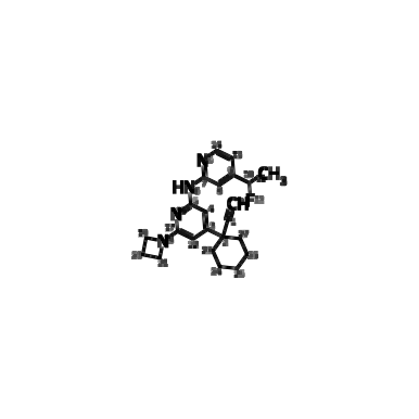 C#CC1(c2cc(Nc3cc(C(C)F)ccn3)nc(N3CCC3)c2)CCCCC1